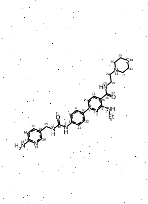 CCNc1nc(-c2ccc(NC(=O)NCc3ccc(N)nc3)cc2)ccc1C(=O)NCCN1CCSCC1